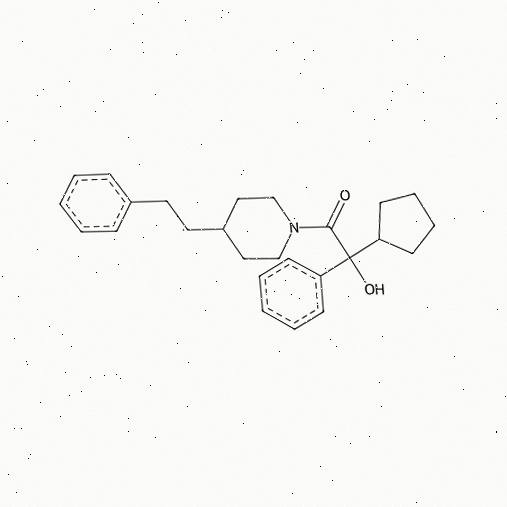 O=C(N1CCC([CH]Cc2ccccc2)CC1)C(O)(c1ccccc1)C1CCCC1